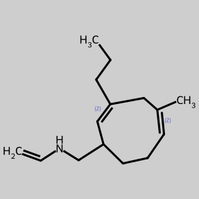 C=CNCC1/C=C(/CCC)C/C(C)=C\CC1